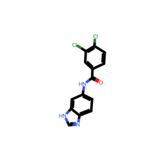 O=C(Nc1ccc2nc[nH]c2c1)c1ccc(Cl)c(Cl)c1